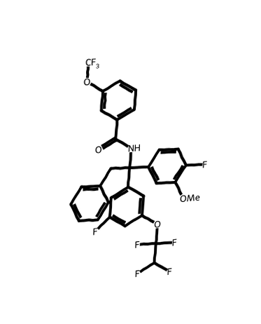 COc1cc(C(Cc2ccccc2)(NC(=O)c2cccc(OC(F)(F)F)c2)c2cc(F)cc(OC(F)(F)C(F)F)c2)ccc1F